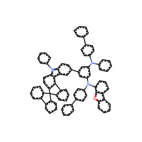 c1ccc(-c2ccc(N(c3ccccc3)c3cc(-c4ccc5c(c4)c4c6c(ccc4n5-c4ccccc4)C4(c5ccccc5-c5ccccc54)c4ccccc4-6)cc(N(c4ccc(-c5ccccc5)cc4)c4cccc5c4oc4ccccc45)c3)cc2)cc1